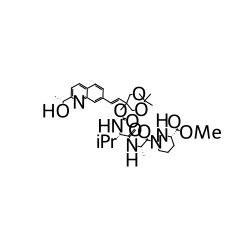 COC(=O)[C@@H]1CCCN(C(=O)[C@H](C)NC(=O)[C@@H](NC(=O)OC2(/C=C/c3ccc4ccc([C@@H](C)O)nc4c3)COC(C)(C)OC2)C(C)C)N1